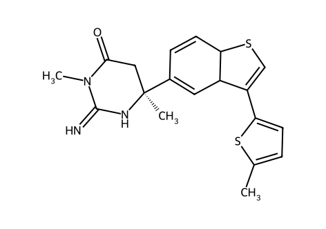 Cc1ccc(C2=CSC3C=CC([C@]4(C)CC(=O)N(C)C(=N)N4)=CC23)s1